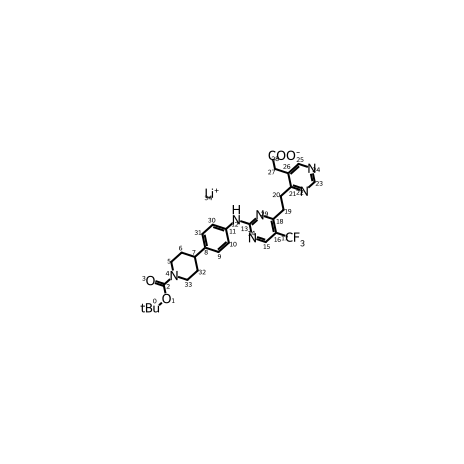 CC(C)(C)OC(=O)N1CCC(c2ccc(Nc3ncc(C(F)(F)F)c(CCc4ncncc4CC(=O)[O-])n3)cc2)CC1.[Li+]